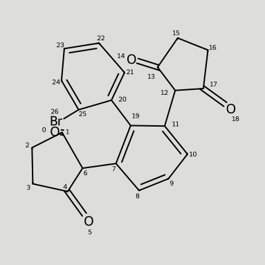 O=C1CCC(=O)C1c1cccc(C2C(=O)CCC2=O)c1-c1ccccc1Br